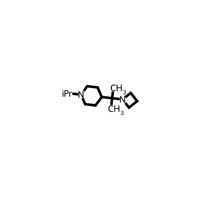 CC(C)N1CCC(C(C)(C)N2CCC2)CC1